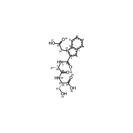 C[C@H](NC(=O)c1cc2ccccc2n1CC(=O)O)C(=O)N[C@@H](CO)C(=O)O